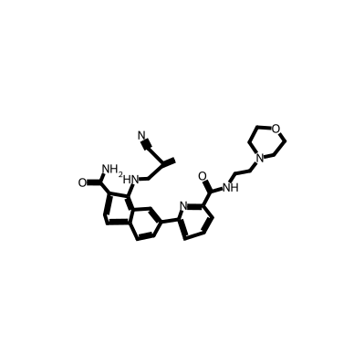 C=C(C#N)CNc1c(C(N)=O)ccc2ccc(-c3cccc(C(=O)NCCN4CCOCC4)n3)cc12